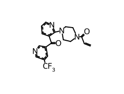 C=CC(=O)N1CCN(c2ncccc2C(=O)c2cncc(C(F)(F)F)c2)CC1